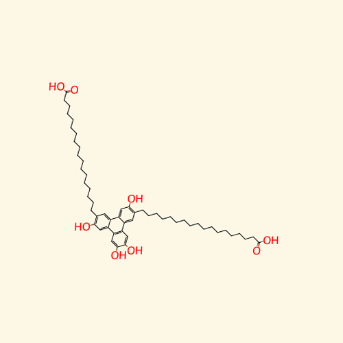 O=C(O)CCCCCCCCCCCCCCCCCc1cc2c3cc(O)c(O)cc3c3cc(O)c(CCCCCCCCCCCCCCCCCC(=O)O)cc3c2cc1O